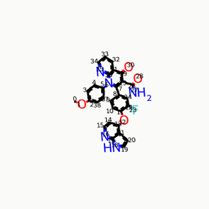 COc1ccc(-n2c(-c3ccc(Oc4ccnc5[nH]ccc45)c(F)c3)c(C(N)=O)c(=O)c3cccnc32)cc1